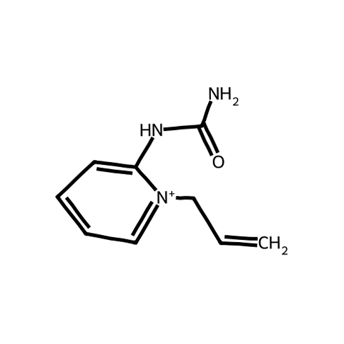 C=CC[n+]1ccccc1NC(N)=O